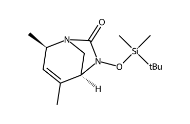 CC1=C[C@@H](C)N2C[C@H]1N(O[Si](C)(C)C(C)(C)C)C2=O